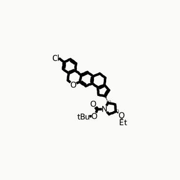 CCO[C@H]1C[C@@H](C2=CC3=C(C2)c2cc4c(cc2CC3)-c2ccc(Cl)cc2CO4)N(C(=O)OC(C)(C)C)C1